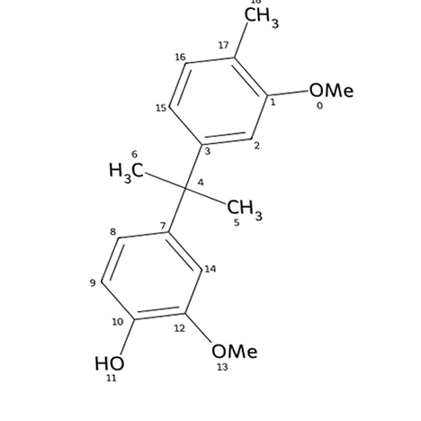 COc1cc(C(C)(C)c2ccc(O)c(OC)c2)ccc1C